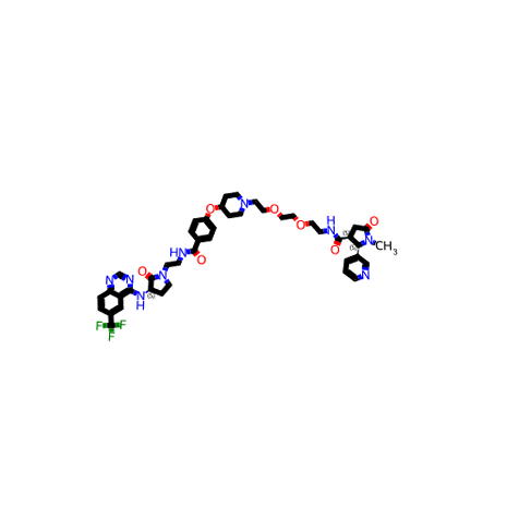 CN1C(=O)C[C@H](C(=O)NCCOCCOCCN2CCC(Oc3ccc(C(=O)NCCN4CC[C@H](Nc5ncnc6ccc(C(F)(F)F)cc56)C4=O)cc3)CC2)[C@H]1c1cccnc1